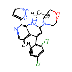 Cc1cnc(C2=CCNN2)c2c1C(c1ccc(Cl)cc1Cl)=CC(N1CCOC[C@H]1C)N2